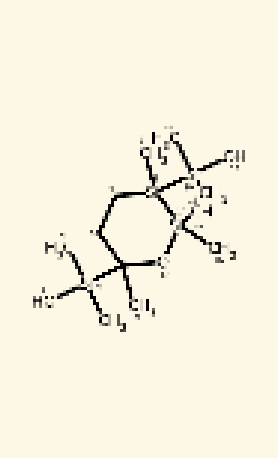 CC1([Si](C)(C)O)CC[Si](C)([Si](C)(C)O)[Si](C)(C)O1